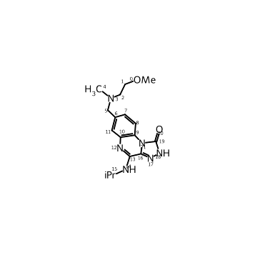 COCCN(C)Cc1ccc2c(c1)nc(NC(C)C)c1n[nH]c(=O)n12